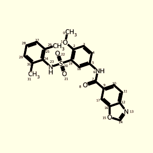 COc1ccc(NC(=O)c2ccc3ncoc3c2)cc1S(=O)(=O)Nc1c(C)cccc1C